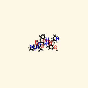 COc1ccc(CN(C[C@H](O)[C@H](Cc2ccccc2)N(C(=O)OCc2ccccn2)C(=O)[C@@H](N)C(C)C)NC(=O)OCc2cccnc2)cc1